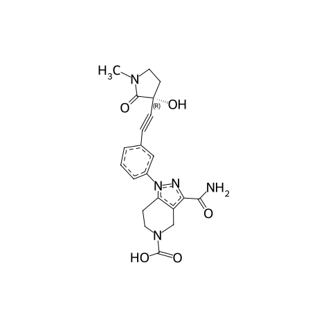 CN1CC[C@@](O)(C#Cc2cccc(-n3nc(C(N)=O)c4c3CCN(C(=O)O)C4)c2)C1=O